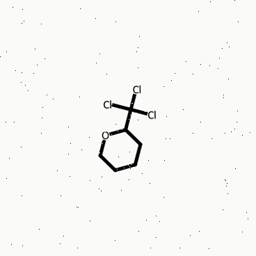 ClC(Cl)(Cl)C1CCCCO1